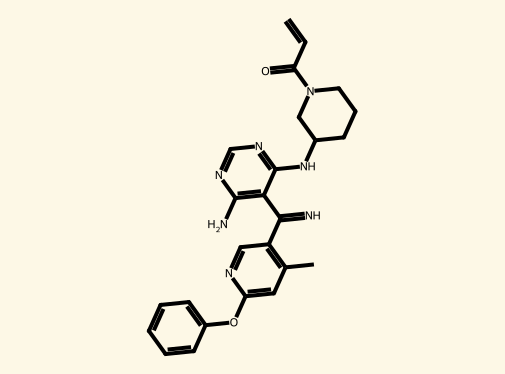 C=CC(=O)N1CCCC(Nc2ncnc(N)c2C(=N)c2cnc(Oc3ccccc3)cc2C)C1